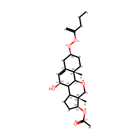 C=C(CCC)OO[C@H]1CC[C@@]2(C)C(=C[C@H](O)C3C2OC[C@@]2(C)C3CC[C@@H]2OC(C)=O)C1